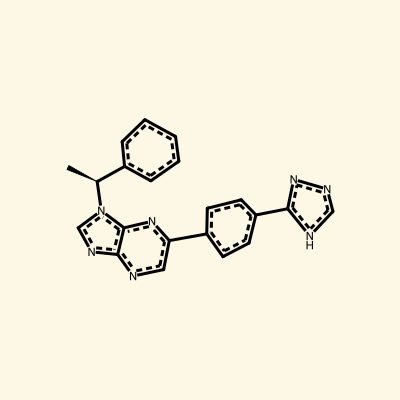 C[C@@H](c1ccccc1)n1cnc2ncc(-c3ccc(-c4nnc[nH]4)cc3)nc21